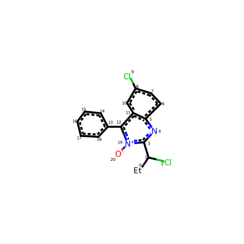 CCC(Cl)c1nc2ccc(Cl)cc2c(-c2ccccc2)[n+]1[O-]